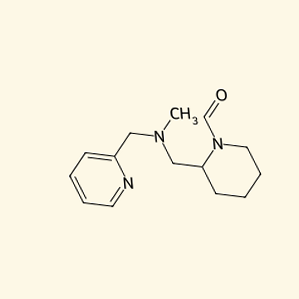 CN(Cc1ccccn1)CC1CCCCN1C=O